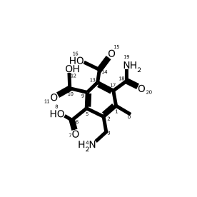 Cc1c(CN)c(C(=O)O)c(C(=O)O)c(C(=O)O)c1C(N)=O